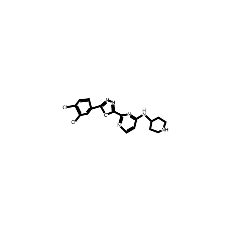 Clc1ccc(-c2nnc(-c3nccc(NC4CCNCC4)n3)o2)cc1Cl